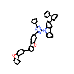 c1ccc(-c2nc(-c3ccc4c(c3)oc3ccc(-c5ccc6oc7ccccc7c6c5)cc34)nc(-n3c4ccccc4c4cc(-c5ccccc5-c5ccccc5)ccc43)n2)cc1